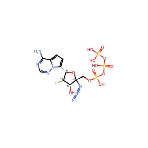 [N-]=[N+]=N[C@@]1(COP(=O)(O)OP(=O)(O)OP(=O)(O)O)O[C@@H](c2ccc3c(N)ncnn23)[C@H](F)[C@@H]1O